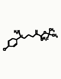 CC(C)(C)OC(=O)NCCC[C@H](N)C1C=CC(Cl)=CC1